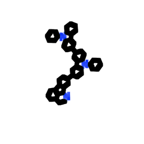 c1ccc(-n2c3ccccc3c3cc(-c4ccc5c(c4)c4cc(-c6ccc7c(c6)-c6nccc8cccc-7c68)ccc4n5-c4ccccc4)ccc32)cc1